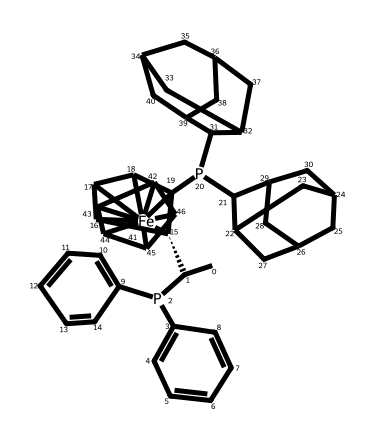 CC(P(c1ccccc1)c1ccccc1)[C@@]12[CH]3[CH]4[CH]5[C]1(P(C1C6CC7CC(C6)CC1C7)C1C6CC7CC(C6)CC1C7)[Fe]45321678[CH]2[CH]1[CH]6[CH]7[CH]28